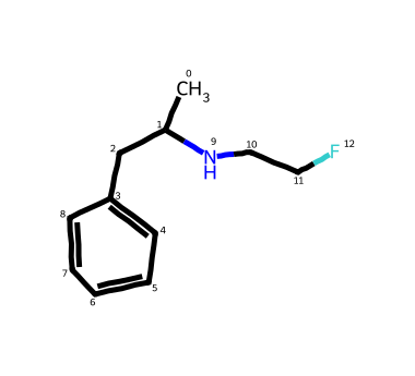 CC(Cc1ccccc1)NCCF